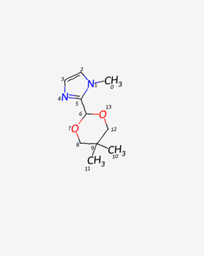 Cn1ccnc1C1OCC(C)(C)CO1